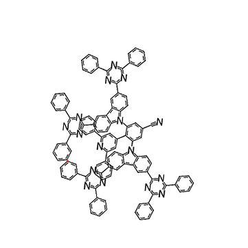 N#Cc1cc(-n2c3ccc(-c4nc(-c5ccccc5)nc(-c5ccccc5)n4)cc3c3cc(-c4nc(-c5ccccc5)nc(-c5ccccc5)n4)ccc32)c(-c2cc(-c3ccccc3)nc(-c3ccccc3)c2)c(-n2c3ccc(-c4nc(-c5ccccc5)nc(-c5ccccc5)n4)cc3c3cc(-c4nc(-c5ccccc5)nc(-c5ccccc5)n4)ccc32)c1